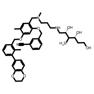 Cc1cc(CN(C)CCCNC[C@H](O)C([SiH3])[C@H](O)CCO)c(OCc2cccc(C#N)c2)cc1OCc1cccc(-c2ccc3c(c2)OCCO3)c1C